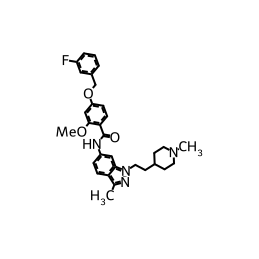 COc1cc(OCc2cccc(F)c2)ccc1C(=O)Nc1ccc2c(C)nn(CCC3CCN(C)CC3)c2c1